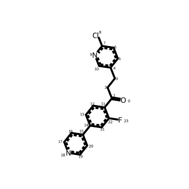 O=C(CCc1ccc(Cl)nc1)c1ccc(-c2ccncc2)cc1F